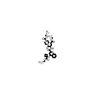 CCOC(=O)CCC(NC(=O)c1cc(OC2(C(=O)OCC)CCC2)c2ccccc2n1)C(=O)N1CCN(C(=O)OCC)CC1